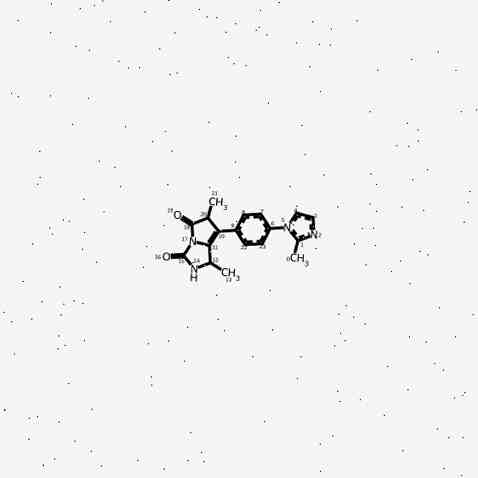 Cc1nccn1-c1ccc(C2=C3C(C)NC(=O)N3C(=O)C2C)cc1